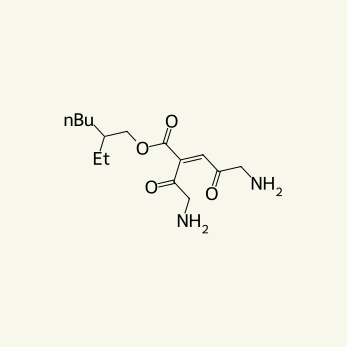 CCCCC(CC)COC(=O)C(=CC(=O)CN)C(=O)CN